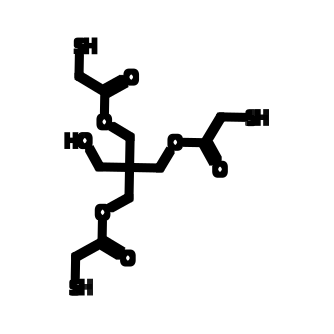 O=C(CS)OCC(CO)(COC(=O)CS)COC(=O)CS